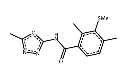 CSc1c(C)ccc(C(=O)Nc2nnc(C)o2)c1C